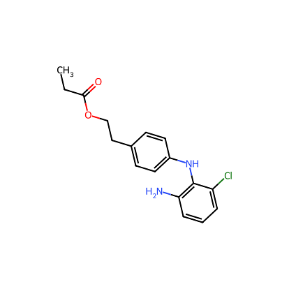 CCC(=O)OCCc1ccc(Nc2c(N)cccc2Cl)cc1